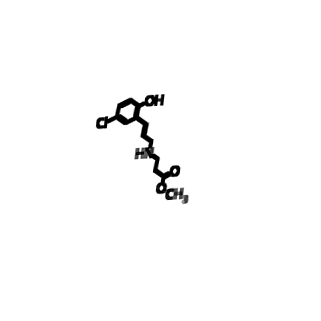 COC(=O)CCNCC=Cc1cc(Cl)ccc1O